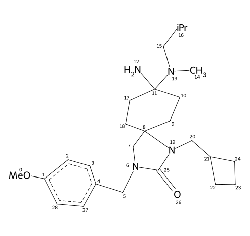 COc1ccc(CN2CC3(CCC(N)(N(C)CC(C)C)CC3)N(CC3CCC3)C2=O)cc1